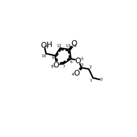 CCCC(=O)Oc1coc(CO)cc1=O